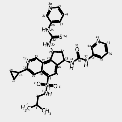 CC(C)CNS(=O)(=O)c1cc2c(c3cnc(C4CC4)cc13)[C@H](NC(=S)Nc1cccnc1)C[C@H]2NC(=O)Nc1cccnc1